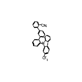 N#Cc1ccccc1-c1cccc(-c2ccccc2-n2c3ccccc3c3ccc(C(F)(F)F)cc32)c1